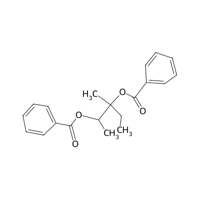 CCC(C)(OC(=O)c1ccccc1)C(C)OC(=O)c1ccccc1